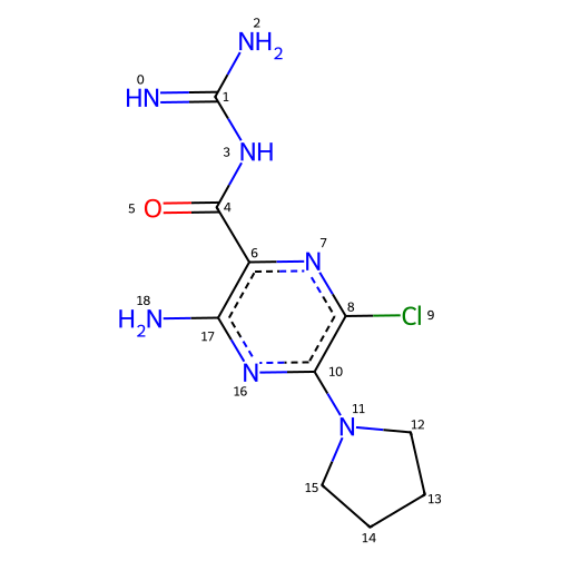 N=C(N)NC(=O)c1nc(Cl)c(N2CCCC2)nc1N